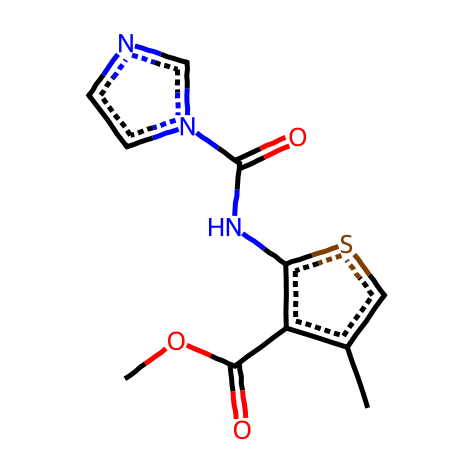 COC(=O)c1c(C)csc1NC(=O)n1ccnc1